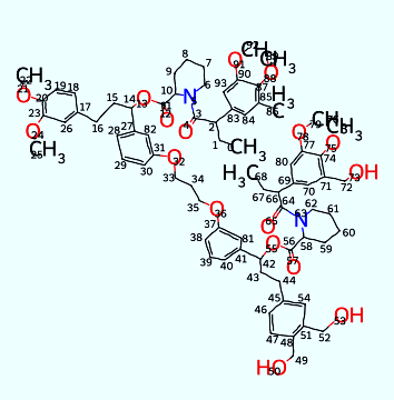 CCC(C(=O)N1CCCCC1C(=O)OC(CCc1ccc(OC)c(OC)c1)c1cccc(OCCCOc2cccc(C(CCc3ccc(CO)c(CO)c3)OC(=O)C3CCCCN3C(=O)C(CC)c3cc(CO)c(OC)c(OC)c3)c2)c1)c1cc(C)c(OC)c(OC)c1